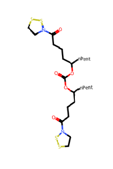 CCCCCC(CCCC(=O)N1CCSS1)OC(=O)OC(CCCCC)CCCC(=O)N1CCSS1